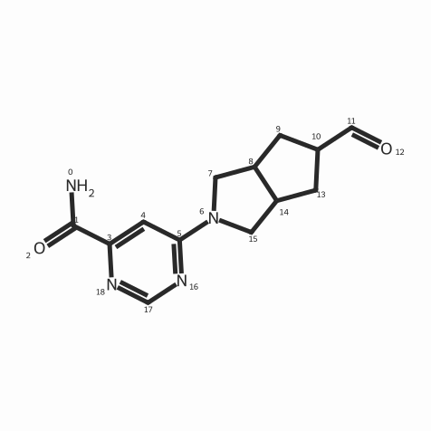 NC(=O)c1cc(N2CC3CC(C=O)CC3C2)ncn1